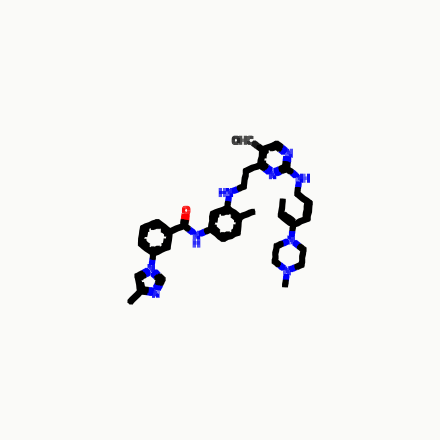 C/C=C(\C=C/CNc1ncc(C=O)c(CCNc2cc(NC(=O)c3cccc(-n4cnc(C)c4)c3)ccc2C)n1)N1CCN(C)CC1